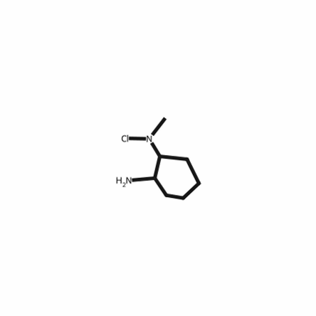 CN(Cl)C1CCCCC1N